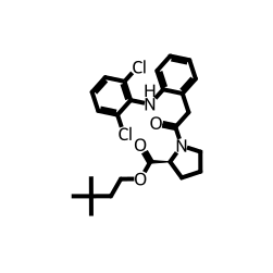 CC(C)(C)CCOC(=O)[C@@H]1CCCN1C(=O)Cc1ccccc1Nc1c(Cl)cccc1Cl